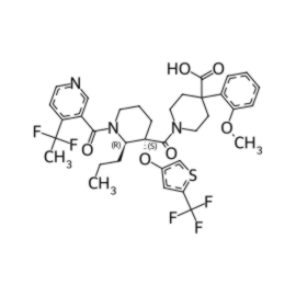 CCC[C@H]1N(C(=O)c2cnccc2C(C)(F)F)CCC[C@@]1(Oc1csc(C(F)(F)F)c1)C(=O)N1CCC(C(=O)O)(c2ccccc2OC)CC1